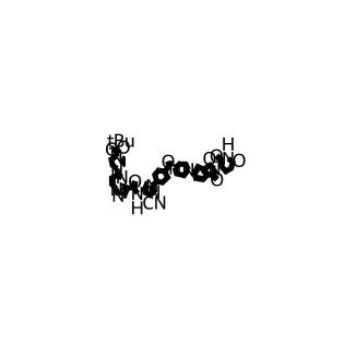 CC(C)(C)OC(=O)N1CCN(c2ccn3ncc(C(=O)Nc4cn(C5CCC(C(=O)N6CCN(c7ccc8c(c7)C(=O)N(C7CCC(=O)NC7=O)C8=O)CC6)CC5)nc4C#N)c3n2)CC1